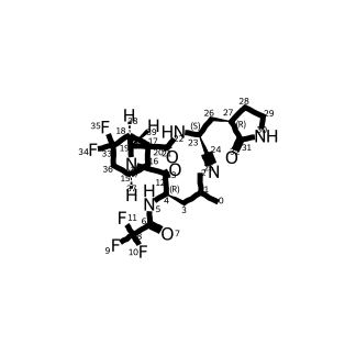 CC(C)C[C@@H](NC(=O)C(F)(F)F)C(=O)N1[C@H]2CC[C@@H]([C@@H]1C(=O)N[C@H](C#N)C[C@H]1CCNC1=O)C(F)(F)C2